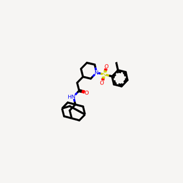 Cc1ccccc1S(=O)(=O)N1CCCC(CC(=O)NC23CC4CC(CC(C4)C2)C3)C1